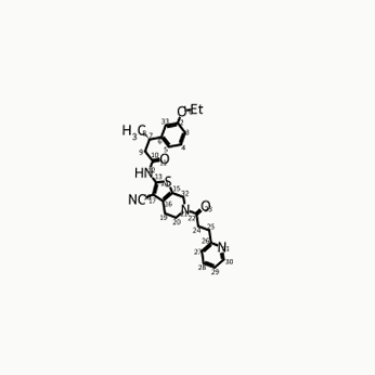 CCOc1cccc([C@@H](C)CC(=O)Nc2sc3c(c2C#N)CCN(C(=O)CCc2ccccn2)C3)c1